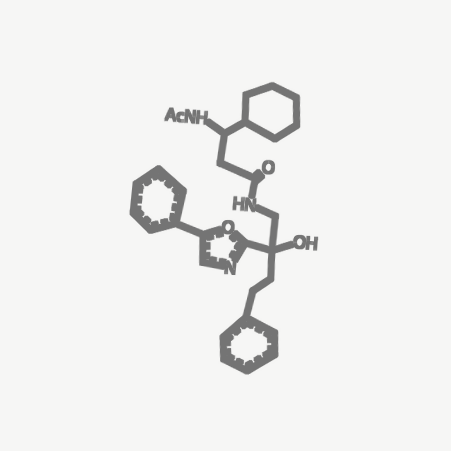 CC(=O)NC(CC(=O)NCC(O)(CCc1ccccc1)c1ncc(-c2ccccc2)o1)C1CCCCC1